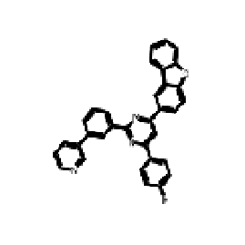 Fc1ccc(-c2cc(-c3ccc4oc5ccccc5c4c3)nc(-c3cccc(-c4cccnc4)c3)n2)cc1